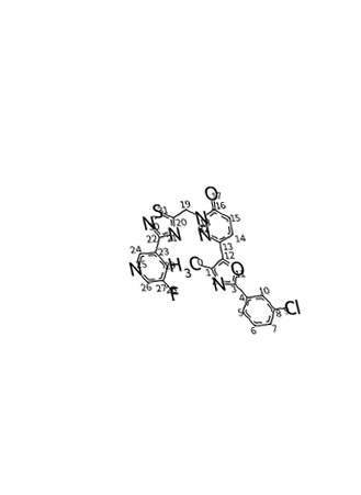 Cc1nc(-c2cccc(Cl)c2)oc1-c1ccc(=O)n(Cc2nc(-c3cncc(F)c3)ns2)n1